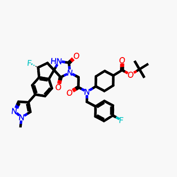 Cn1cc(-c2ccc3c(c2)[C@H](F)CC32NC(=O)N(CC(=O)N(Cc3ccc(F)cc3)C3CCC(C(=O)OC(C)(C)C)CC3)C2=O)cn1